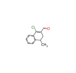 CC1CC(C=O)=C(Cl)c2ccccc21